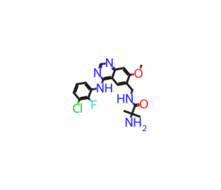 COc1cc2ncnc(Nc3cccc(Cl)c3F)c2cc1CNC(=O)C(C)(C)N